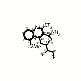 COc1cccc2nc(C(F)(F)F)c(C(N)=O)c(CC(F)C(F)CF)c12